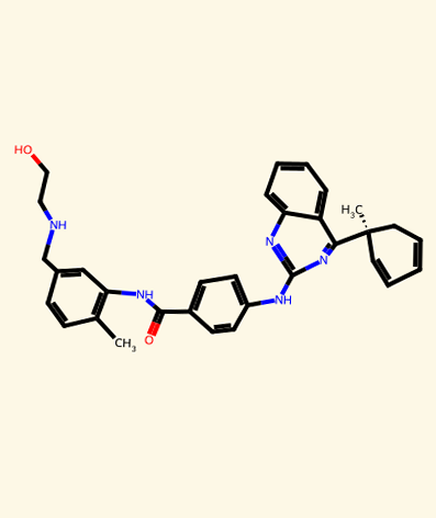 Cc1ccc(CNCCO)cc1NC(=O)c1ccc(Nc2nc([C@]3(C)C=CC=CC3)c3ccccc3n2)cc1